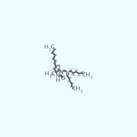 CCCCCCCCCC1(C)NC(=O)N(CN(CCCCCC)CCCCCC)C1=O